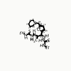 CCNC(=S)NNC(C)C(NNC(=S)NCC)c1ccc(CN2CCCCC2)o1